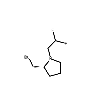 CCC(C)C[C@H]1CCCN1CC(F)F